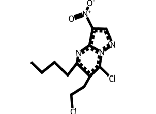 CCCCc1nc2c([N+](=O)[O-])cnn2c(Cl)c1CCCl